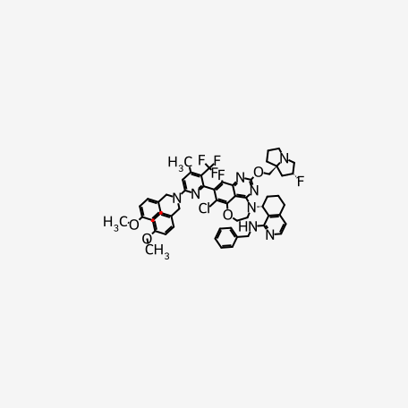 COc1ccc(CN(Cc2ccc(OC)cc2)c2cc(C)c(C(F)(F)F)c(-c3c(Cl)c4c5c(nc(OC[C@@]67CCCN6C[C@H](F)C7)nc5c3F)N([C@@H]3CCCc5ccnc(NCc6ccccc6)c53)CCO4)n2)cc1